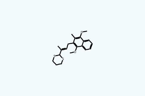 COc1c(C)c(C/C=C(\C)C2SCCCS2)c(OC)c2ccccc12